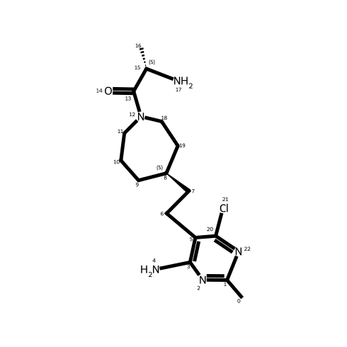 Cc1nc(N)c(CC[C@H]2CCCN(C(=O)[C@H](C)N)CC2)c(Cl)n1